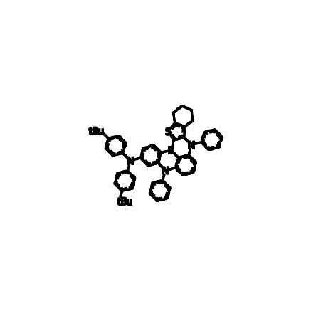 CC(C)(C)c1ccc(N(c2ccc(C(C)(C)C)cc2)c2ccc3c(c2)N(c2ccccc2)c2cccc4c2B3c2sc3c(c2N4c2ccccc2)CCCC3)cc1